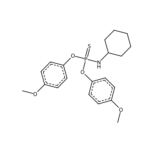 COc1ccc(OP(=S)(NC2CCCCC2)Oc2ccc(OC)cc2)cc1